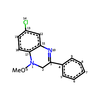 CON1CC(c2ccccc2)=Nc2cc(Cl)ccc21